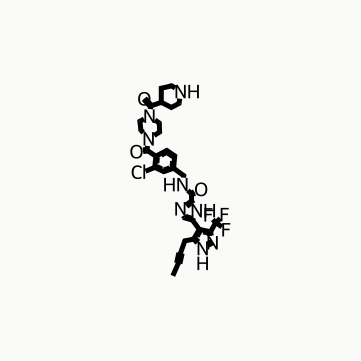 CC#CCc1[nH]nc(C(F)(F)F)c1-c1cnc(C(=O)NCc2ccc(C(=O)N3CCN(C(=O)C4CCNCC4)CC3)c(Cl)c2)[nH]1